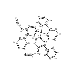 N#COc1ccc(C2(c3ccc(OC#N)c(-c4ccccc4)c3)c3ccccc3-c3ccccc32)cc1-c1ccccc1